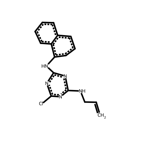 C=CCNc1nc(Cl)nc(Nc2cccc3ccccc23)n1